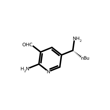 CCCC[C@@H](N)c1cnc(N)c(C=O)c1